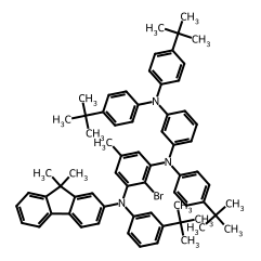 Cc1cc(N(c2ccc(C(C)(C)C)cc2)c2cccc(N(c3ccc(C(C)(C)C)cc3)c3ccc(C(C)(C)C)cc3)c2)c(Br)c(N(c2cccc(C(C)(C)C)c2)c2ccc3c(c2)C(C)(C)c2ccccc2-3)c1